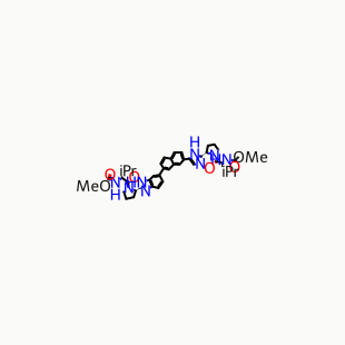 COC(=O)N[C@H](C(=O)N1CCC[C@H]1c1ncc(-c2ccc3ccc(-c4ccc5nc([C@@H]6CCCN6C(=O)[C@@H](NC(=O)OC)C(C)C)[nH]c5c4)cc3c2)[nH]1)C(C)C